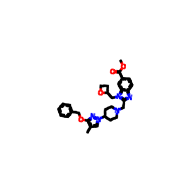 COC(=O)c1ccc2nc(CN3CCC(n4cc(C)c(OCc5ccccc5)n4)CC3)n(CC3CCO3)c2c1